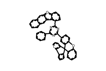 c1ccc(-c2nc(-c3ccc4c(c3)C3(c5ccccc5O4)c4ccccc4-c4ccccc43)nc(-c3cccc4oc5cc6ccccc6cc5c34)n2)cc1